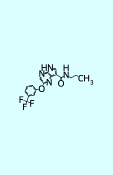 CCCNC(=O)c1c[nH]c2ncc(Oc3cccc(C(F)(F)F)c3)nc12